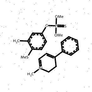 COP(=S)(OC)Oc1ccc(SC)c(C)c1.C[N+]1=CC=C(c2ccccc2)CC1